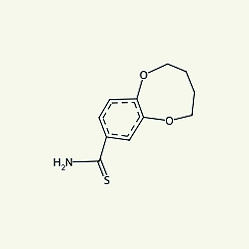 NC(=S)c1ccc2c(c1)OCCCCO2